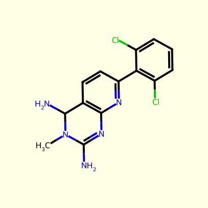 CN1C(N)=Nc2nc(-c3c(Cl)cccc3Cl)ccc2C1N